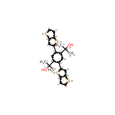 CC(C)(O)c1cc(-c2cc3sccc3s2)c(C(C)(C)O)cc1-c1cc2sccc2s1